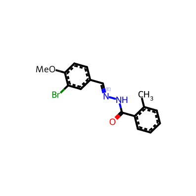 COc1ccc(/C=N/NC(=O)c2ccccc2C)cc1Br